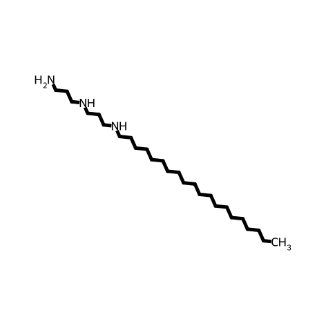 CCCCCCCCCCCCCCCCCCCCNCCCNCCCN